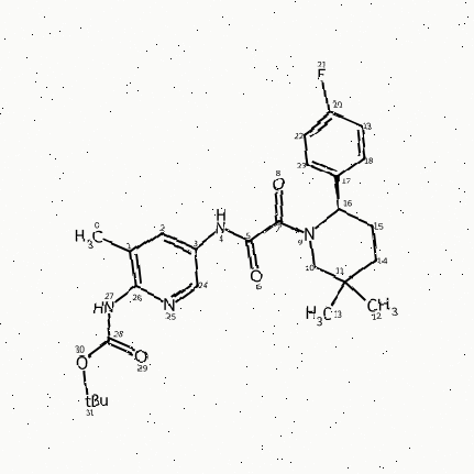 Cc1cc(NC(=O)C(=O)N2CC(C)(C)CC[C@@H]2c2ccc(F)cc2)cnc1NC(=O)OC(C)(C)C